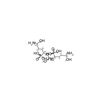 NC(O)CCC(O[PH](=O)OC(CCC(N)O)P(=O)(O)O)P(=O)(O)O